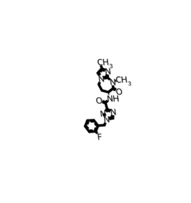 Cc1cn2c(n1)N(C)C(=O)[C@H](NC(=O)c1ncn(Cc3ccccc3F)n1)CC2